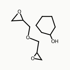 C(OCC1CO1)C1CO1.OC1CCCCC1